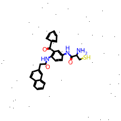 NC(CS)C(=O)Nc1ccc(NC(=O)Cc2ccc3ccccc3c2)c(C(=O)c2ccccc2)c1